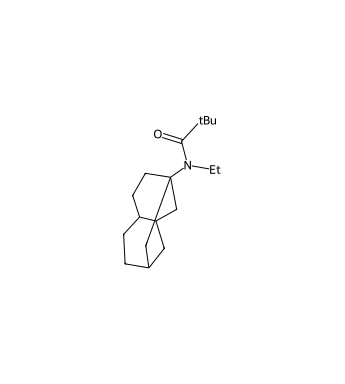 CCN(C(=O)C(C)(C)C)C12CCC3CCC(CC3C1)C2